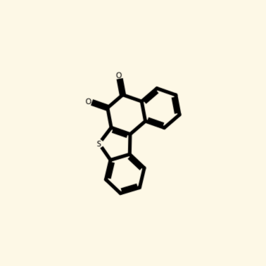 O=C1C(=O)c2sc3ccccc3c2-c2ccccc21